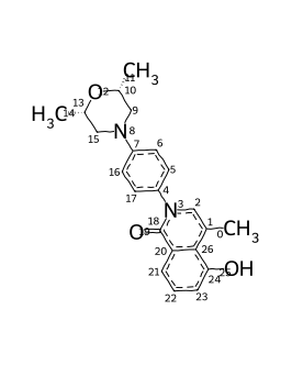 Cc1cn(-c2ccc(N3C[C@@H](C)O[C@@H](C)C3)cc2)c(=O)c2cccc(O)c12